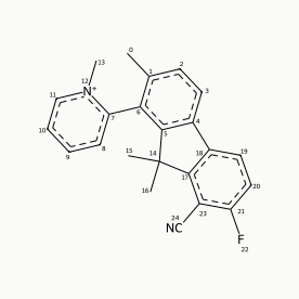 Cc1ccc2c(c1-c1cccc[n+]1C)C(C)(C)c1c-2ccc(F)c1C#N